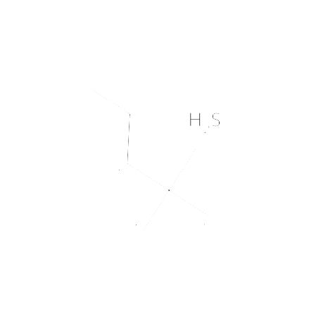 CCCC(C)(C)C.S